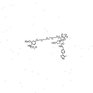 COc1cc(OCCOCCOCCOCCSC(C)(C)C(NC(=O)C2(F)CC2)C(=O)N2C[C@H](O)C[C@H]2C(=O)NCc2ccc(-c3scnc3C)cc2)ccc1NC(=O)O